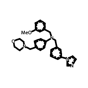 COc1cccc(CN(Cc2cccc(-n3ccnc3)c2)c2ccc(CN3CCOCC3)cc2)c1